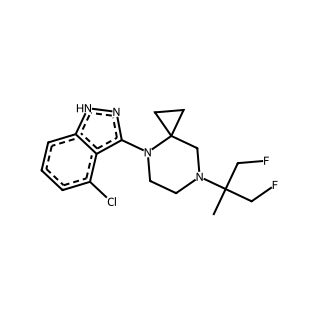 CC(CF)(CF)N1CCN(c2n[nH]c3cccc(Cl)c23)C2(CC2)C1